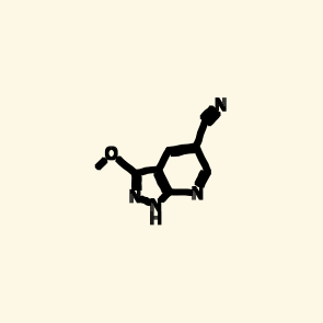 COc1n[nH]c2ncc(C#N)cc12